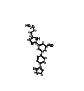 O=Nc1cc(-c2ccc(-c3ccn[nH]3)cc2)cc(-c2nnc(SCC(=O)O)[nH]2)c1